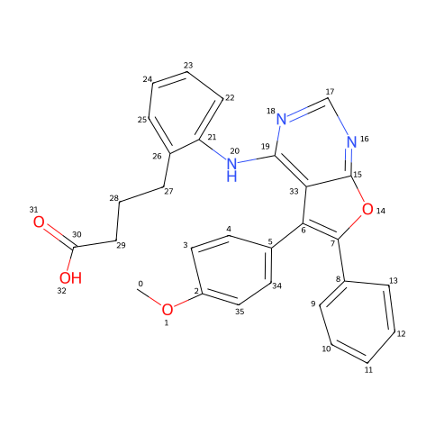 COc1ccc(-c2c(-c3ccccc3)oc3ncnc(Nc4ccccc4CCCC(=O)O)c23)cc1